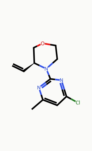 C=C[C@H]1COCCN1c1nc(C)cc(Cl)n1